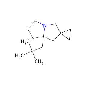 CC(C)(C)CC12CCCN1CC1(CC1)C2